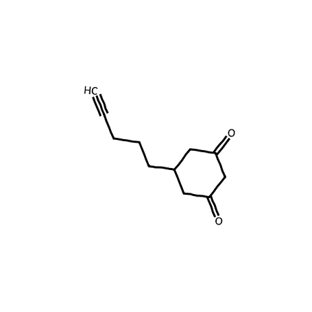 C#CCCCC1CC(=O)CC(=O)C1